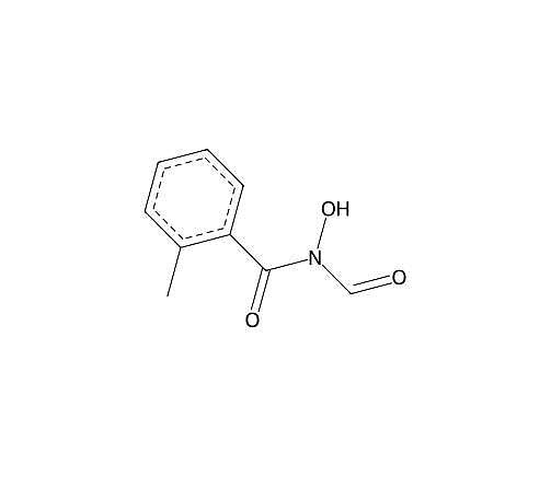 Cc1ccccc1C(=O)N(O)C=O